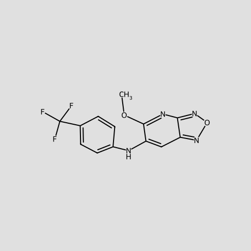 COc1nc2nonc2cc1Nc1ccc(C(F)(F)F)cc1